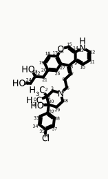 CC1(C)CN(CCC=C2C3=CC=CNC3=COc3ccc(CC(O)CO)cc32)CCC1(O)c1ccc(Cl)cc1